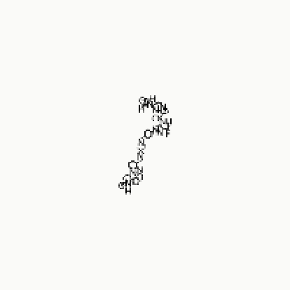 Cn1c(=O)n(C2CCC(=O)NC2=O)c2cccc(CN3CC4(CCN(Cc5ccc(-n6cc(NC(=O)c7cnn8ccc(N9C[C@H]%10C[C@@H]9CO%10)nc78)c(C(F)F)n6)cc5)CC4)C3)c21